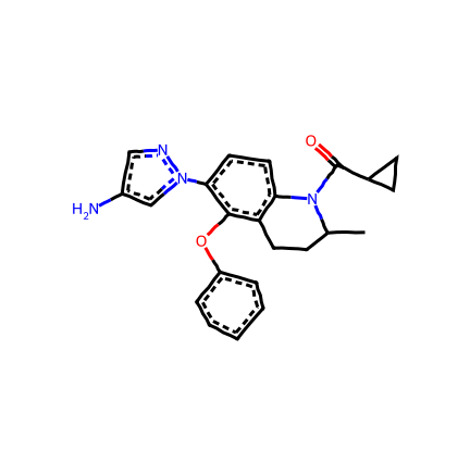 CC1CCc2c(ccc(-n3cc(N)cn3)c2Oc2ccccc2)N1C(=O)C1CC1